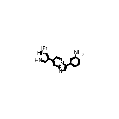 CC(C)N/C=C(\C=N)c1ccn2c(-c3cccc(N)c3)cnc2c1